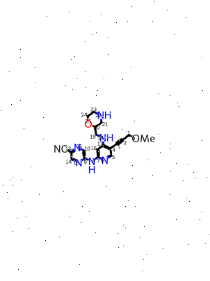 COCC#Cc1cnc(Nc2cnc(C#N)cn2)cc1NCC1CNCCO1